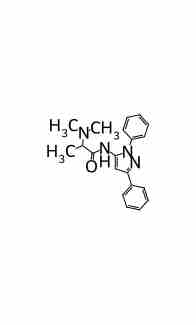 CC(C(=O)Nc1cc(-c2ccccc2)nn1-c1ccccc1)N(C)C